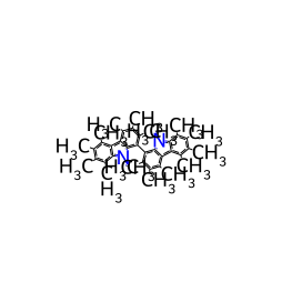 Cc1c(C)c(C)c2c(c1C)c1c(C)c(C)c(C)c(-c3c(C)c(C)c(C)c4c5c(C)c(C)c(C)c(C)c5n(C)c34)c1n2C